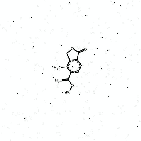 C=C(OCCCC)c1ccc2c(c1C)COC2=O